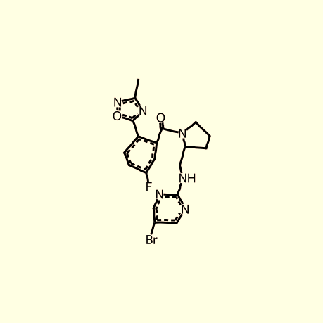 Cc1noc(-c2ccc(F)cc2C(=O)N2CCCC2CNc2ncc(Br)cn2)n1